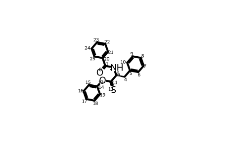 O=C(N[C@@H](Cc1ccccc1)C(=S)Oc1ccccc1)c1ccccc1